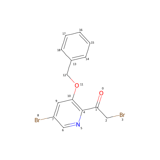 O=C(CBr)c1ncc(Br)cc1OCc1ccccc1